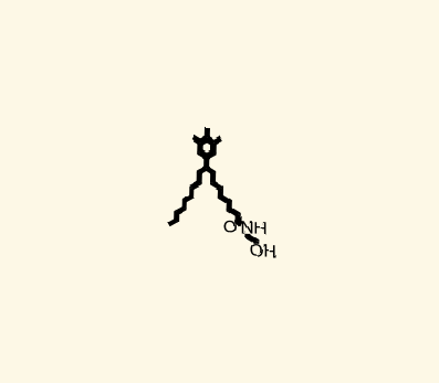 CCCCCCCCCC(CCCCCCCC(=O)NCCO)c1cc(C)c(C)c(C)c1